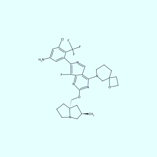 C[C@H]1CN2CCC[C@@]2(COc2nc(N3CCCC4(CCO4)C3)c3cnc(-c4cc(N)cc(Cl)c4C(F)(F)F)c(F)c3n2)C1